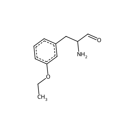 CCOc1cccc(CC(N)C=O)c1